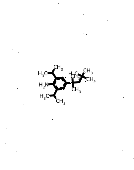 CC(C)c1cc(C(C)(C)CC(C)(C)C)cc(C(C)C)c1N